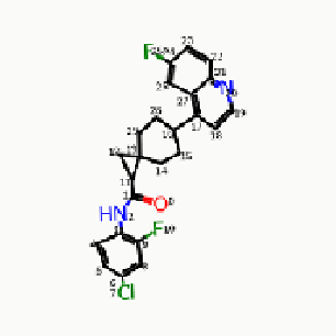 O=C(Nc1ccc(Cl)cc1F)[C@H]1CC12CCC(c1ccnc3ccc(F)cc13)CC2